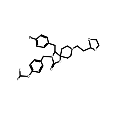 O=C1OC2(CCN(CCC3OCCO3)CC2)C(Cc2ccc(F)cc2)N1Cc1ccc(OC(F)F)cc1